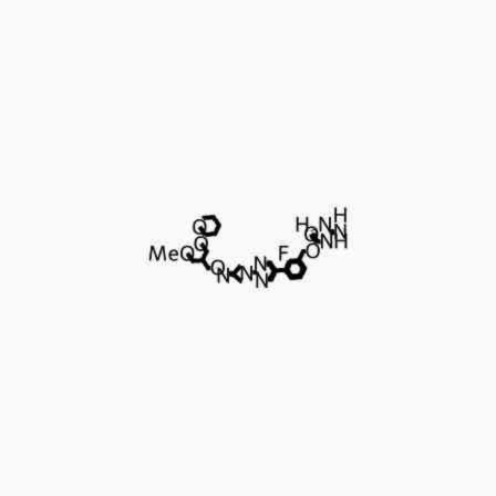 COCC(CON=C1CN(c2ncc(-c3cccc(COC(=O)NC(=N)N)c3F)cn2)C1)COC1CCCCO1